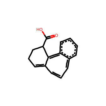 O=C(O)C1CCC=C2C=CC=c3ccccc3=C21